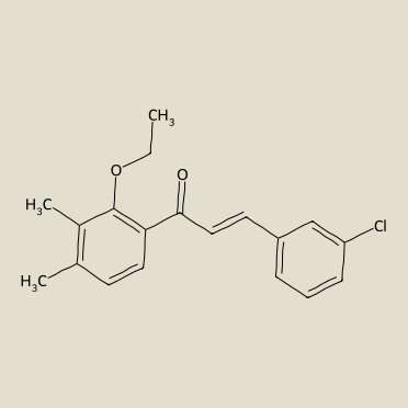 CCOc1c(C(=O)/C=C/c2cccc(Cl)c2)ccc(C)c1C